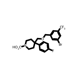 O=C(O)N1CCC(COCc2cc(Br)cc(C(F)(F)F)c2)(c2ccc(F)cc2)CC1